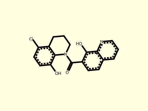 O=C(c1ccc2cccnc2c1O)N1CCCc2c(Cl)ccc(O)c21